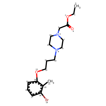 CCOC(=O)CN1CCN(CCCOc2cccc(Br)c2C)CC1